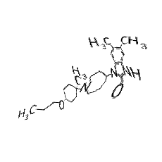 CCCO[C@H]1CC[C@](C)(N2CCC(n3c(=O)[nH]c4cc(C)c(C)cc43)CC2)CC1